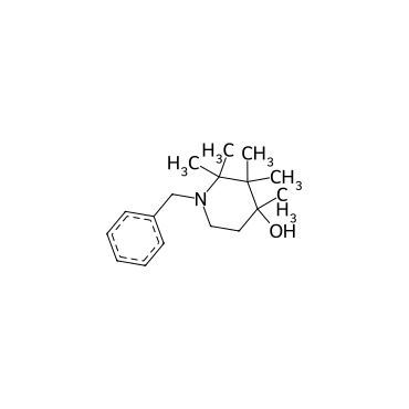 CC1(O)CCN(Cc2ccccc2)C(C)(C)C1(C)C